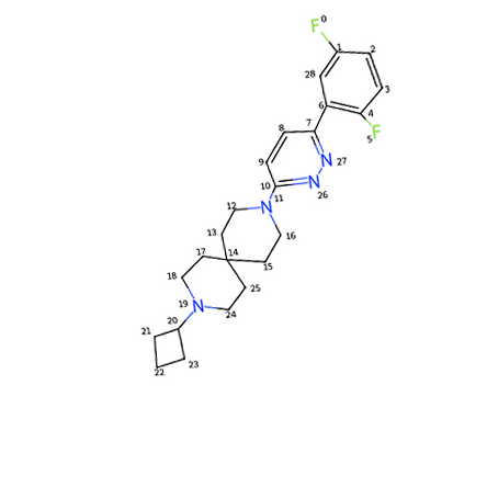 Fc1ccc(F)c(-c2ccc(N3CCC4(CC3)CCN(C3CCC3)CC4)nn2)c1